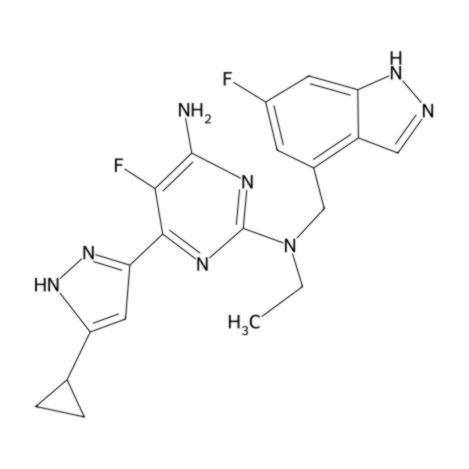 CCN(Cc1cc(F)cc2[nH]ncc12)c1nc(N)c(F)c(-c2cc(C3CC3)[nH]n2)n1